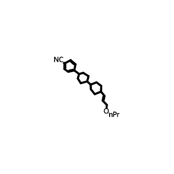 CCCOC/C=C/C1CCC(C2CCC(c3ccc(C#N)cc3)CC2)CC1